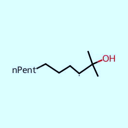 CCCCCCCC[CH]C(C)(C)O